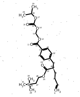 C=CCC[C@H](Cc1ccc(C(=O)OCOC(=O)OC(C)C)cc1)C(=O)OCC[Si](C)(C)C